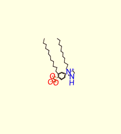 CCCCCCCCCCCCc1ccccc1S(=O)(=O)[O-].CCCCCCCCCCC[N+]1=CNCC1